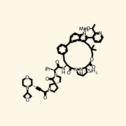 CCn1c(-c2cccnc2[C@H](C)OC)c2c3cc(ccc31)-c1cccc(c1)C[C@H](NC(=O)[C@H](C(C)C)N1CC[C@@]3(CCN(C(=O)C#C[C@H]4COCCN4C4COC4)C3)C1=O)C(=O)N1CCC[C@@]([SiH3])(N1)C(=O)OCC(C)(C)C2